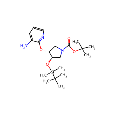 CC(C)(C)OC(=O)N1C[C@@H](Oc2ncccc2N)[C@H](O[Si](C)(C)C(C)(C)C)C1